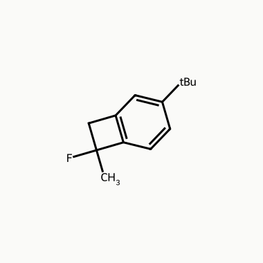 CC(C)(C)c1ccc2c(c1)CC2(C)F